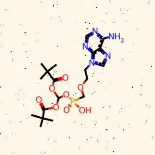 CC(C)(C)C(=O)OC(OC(=O)C(C)(C)C)OP(=O)(O)COCCn1cnc2c(N)ncnc21